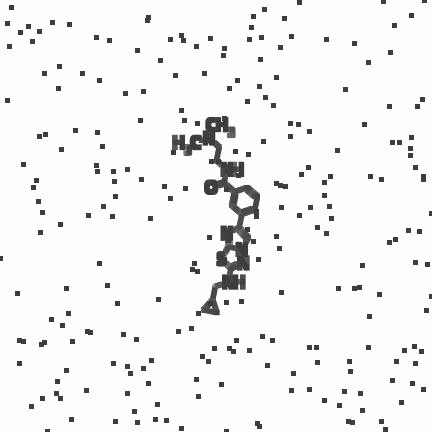 CN(C)CCNC(=O)c1cccc(-c2cn3nc(NCC4CC4)sc3n2)c1